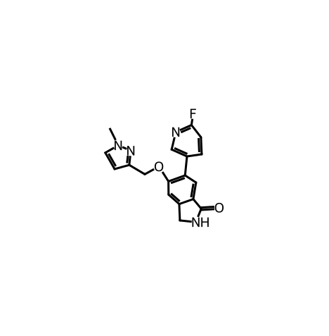 Cn1ccc(COc2cc3c(cc2-c2ccc(F)nc2)C(=O)NC3)n1